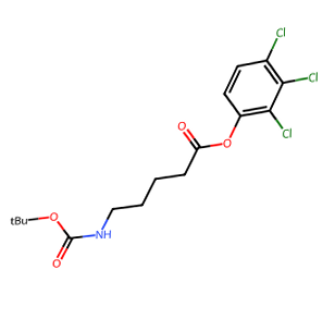 CC(C)(C)OC(=O)NCCCCC(=O)Oc1ccc(Cl)c(Cl)c1Cl